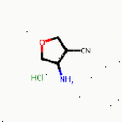 Cl.N#CC1COCC1N